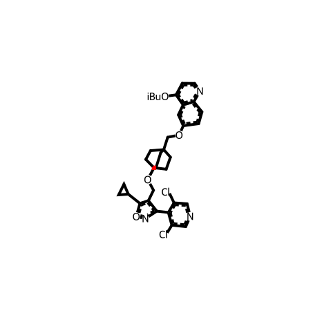 CC(C)COc1ccnc2ccc(OCC34CCC(OCc5c(-c6c(Cl)cncc6Cl)noc5C5CC5)(CC3)CC4)cc12